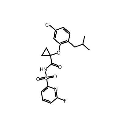 CC(C)Cc1ccc(Cl)cc1OC1(C(=O)NS(=O)(=O)c2cccc(F)n2)CC1